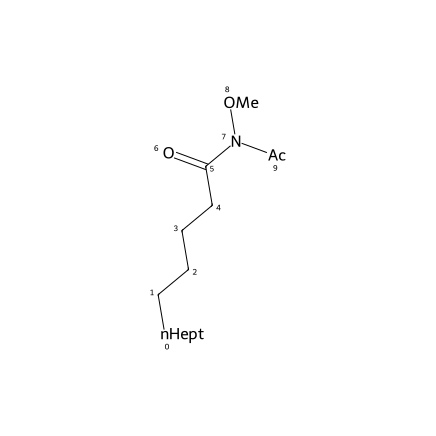 CCCCCCCCCCCC(=O)N(OC)C(C)=O